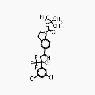 CC(C)(C)OC(=O)N1CCc2cc(C3=NOC(c4cc(Cl)cc(Cl)c4)(C(F)(F)F)C3)ccc21